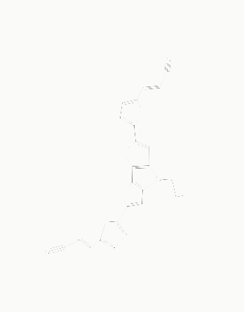 CCCn1c2cc(-c3ccc(C=CC#N)s3)sc2c2sc(-c3ccc(C=CC#N)s3)cc21